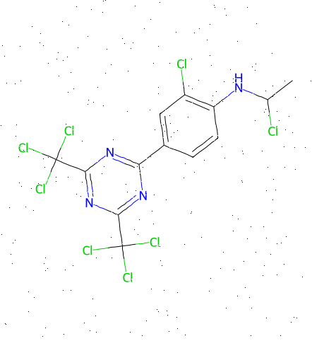 CC(Cl)Nc1ccc(-c2nc(C(Cl)(Cl)Cl)nc(C(Cl)(Cl)Cl)n2)cc1Cl